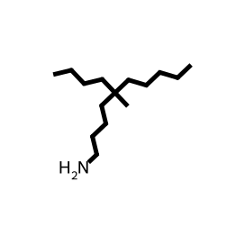 CCCCCC(C)(CCCC)CCCCN